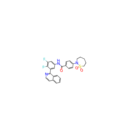 O=C(Nc1cc(F)c(F)c(-c2nccc3ccccc23)c1)c1ccc(N2CCCCCS2(=O)=O)cc1